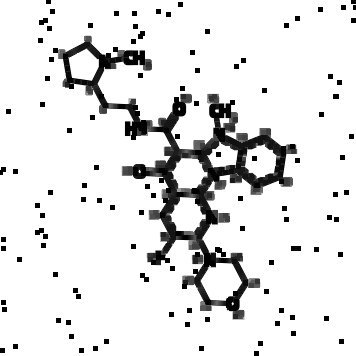 CN1CCCC1CCNC(=O)c1c(=O)c2cc(F)c(N3CCOCC3)nc2n2c3ccccc3n(C)c12